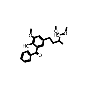 COc1cc(CCC(C)[SiH](OC)OC)cc(C(=O)c2ccccc2)c1O